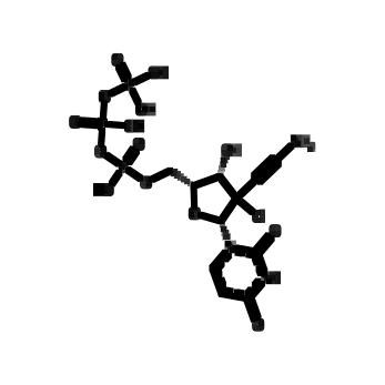 NC#CC1(Cl)[C@@H](O)[C@@H](COP(=O)(O)OP(=O)(O)OP(=O)(O)O)O[C@H]1n1ccc(=O)[nH]c1=O